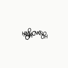 O=C(O)N1CC[C@@H](N2CCC(N3C(=O)N[C@H]4CCCC[C@@H]43)CC2)C1